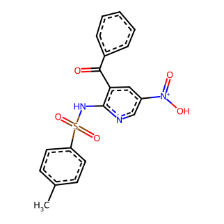 Cc1ccc(S(=O)(=O)Nc2ncc([N+](=O)O)cc2C(=O)c2ccccc2)cc1